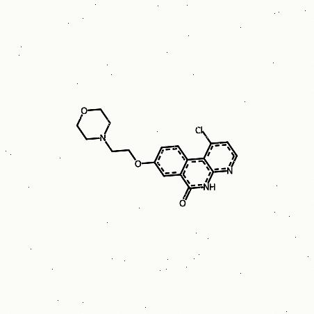 O=c1[nH]c2nccc(Cl)c2c2ccc(OCCN3CCOCC3)cc12